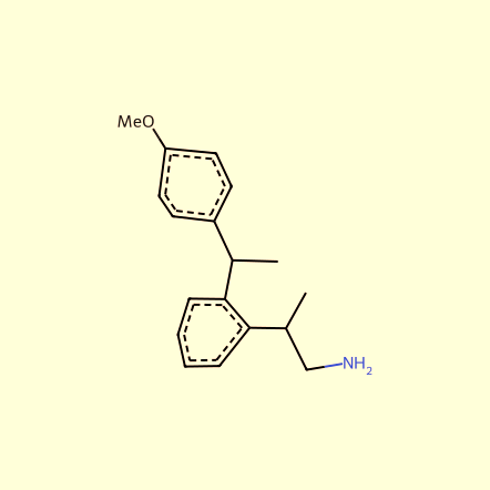 COc1ccc(C(C)c2ccccc2C(C)CN)cc1